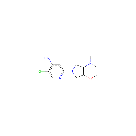 CN1CCOC2CN(c3cc(N)c(Cl)cn3)CC21